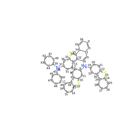 C1=CC2C=C(N(c3ccc4c(c3)sc3ccccc34)c3ccc4sc5ccccc5c4c3)c3c(sc4cc(N(c5ccccc5)c5ccccc5)ccc34)C2C=C1